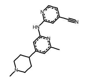 Cc1cc(C2CCN(C)CC2)cc(Nc2cc(C#N)ccn2)n1